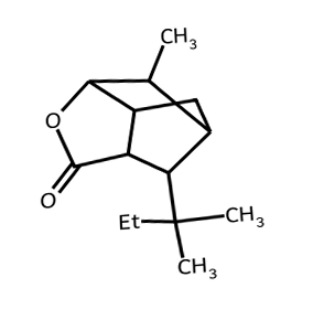 CCC(C)(C)C1C2CC3C(OC(=O)C31)C2C